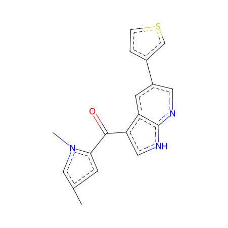 Cc1cc(C(=O)c2c[nH]c3ncc(-c4ccsc4)cc23)n(C)c1